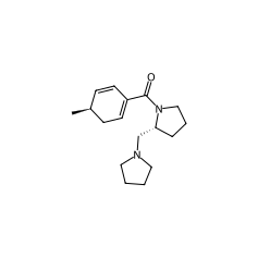 C[C@H]1C=CC(C(=O)N2CCC[C@@H]2CN2CCCC2)=CC1